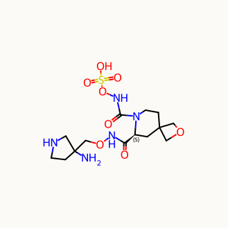 NC1(CONC(=O)[C@@H]2CC3(CCN2C(=O)NOS(=O)(=O)O)COC3)CCNC1